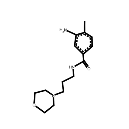 Cc1ccc(C(=O)NCCCN2CCOCC2)cc1N